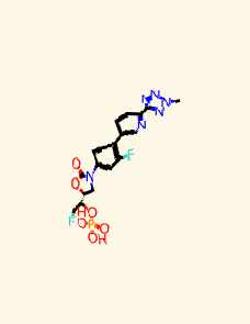 Cn1nnc(-c2ccc(-c3ccc(N4C[C@H](C(CF)OP(=O)(O)O)OC4=O)cc3F)cn2)n1